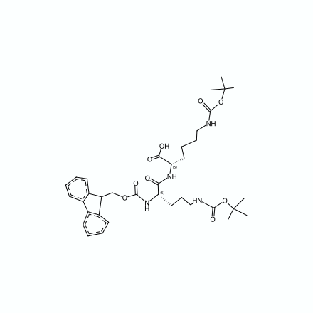 CC(C)(C)OC(=O)NCCCC[C@H](NC(=O)[C@H](CCCNC(=O)OC(C)(C)C)NC(=O)OCC1c2ccccc2-c2ccccc21)C(=O)O